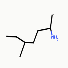 [CH2]C(N)CCC(C)CC